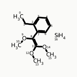 CCc1ccccc1C(OC)=C(OC)OC.[SiH4]